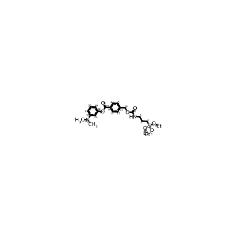 CCO[Si](CCCNC(=O)OCc1ccc(C(=O)Oc2cccc(N(C)C)c2)cc1)(OCC)OCC